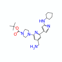 CC(C)(C)OC(=O)N1CCN(c2cc(CN)cc(-c3ccnc(NC4CCCCC4)c3)n2)CC1